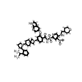 CC(C)c1ccccc1C1CCCN1C1CCC2(CC1)CN(c1ccc(C(=O)NS(=O)(=O)c3cc([N+](=O)[O-])c(NCC4CCOCC4)cn3)c(Oc3cnc4[nH]ccc4c3)c1)C2